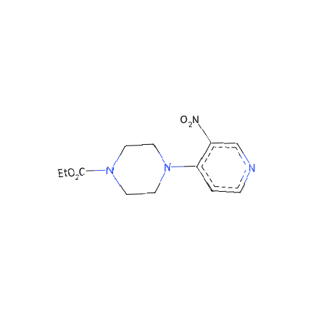 CCOC(=O)N1CCN(c2ccncc2[N+](=O)[O-])CC1